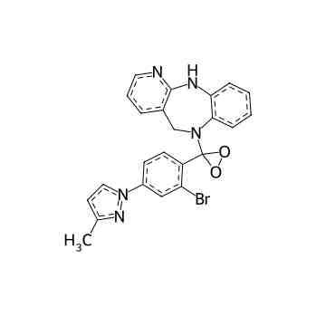 Cc1ccn(-c2ccc(C3(N4Cc5cccnc5Nc5ccccc54)OO3)c(Br)c2)n1